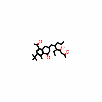 CCCC(CC1CC(=O)c2c(C)c(C(C)(C)C)cc(C(C)=O)c2C1)C(CC)C(=O)CC(C)=O